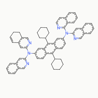 C1=Cc2cc(N(c3ccc4c(C5CCCCC5)c5ccc(N(c6cc7ccccc7cn6)c6nccc7ccccc67)cc5c(C5CCCCC5)c4c3)c3cc4ccccc4cn3)ncc2CC1